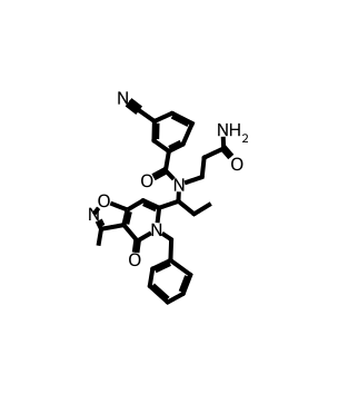 CCC(c1cc2onc(C)c2c(=O)n1Cc1ccccc1)N(CCC(N)=O)C(=O)c1cccc(C#N)c1